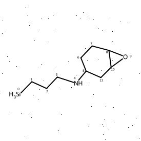 [SiH3]CCCNC1CCC2OC2C1